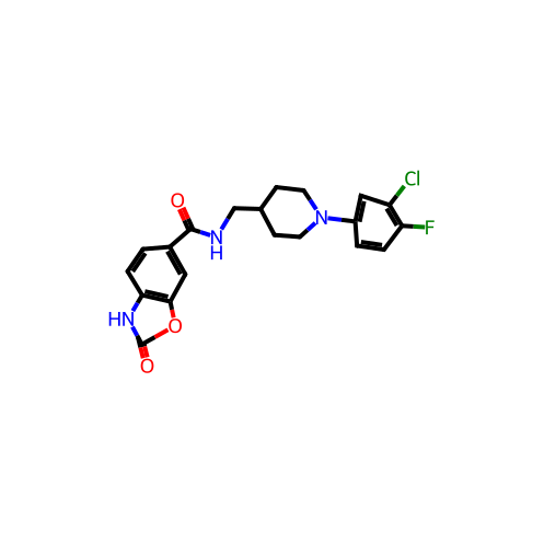 O=C(NCC1CCN(c2ccc(F)c(Cl)c2)CC1)c1ccc2[nH]c(=O)oc2c1